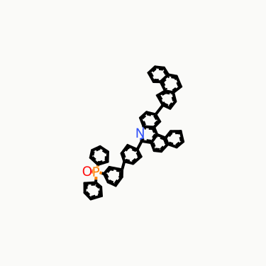 O=P(c1ccccc1)(c1ccccc1)c1cccc(-c2ccc(-c3nc4ccc(-c5ccc6ccc7ccccc7c6c5)cc4c4c3ccc3ccccc34)cc2)c1